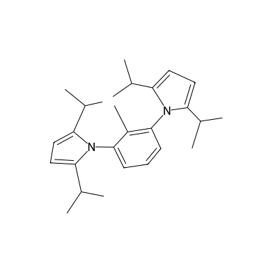 Cc1c(-n2c(C(C)C)ccc2C(C)C)cccc1-n1c(C(C)C)ccc1C(C)C